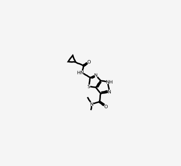 CN(C)C(=O)c1n[nH]c2nc(NC(=O)C3CC3)sc12